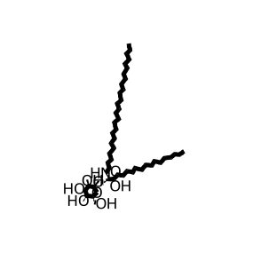 CCCCCCCCCCCCCCCCCCCCCCCCCC(=O)N[C@@H](CO[C@H]1O[C@H](CO)[C@H](O)[C@H](O)[C@H]1O)[C@@H](O)CCCCCCCCCCCCCCC